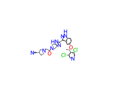 C[C@@H](Oc1ccc2[nH]nc(-c3nc4c([nH]3)CN(C(=O)CN3CC[C@@H](C#N)C3)C4)c2c1)c1c(Cl)cncc1Cl